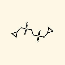 O=S(=O)(CCS(=O)(=O)OC1CC1)OC1CC1